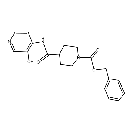 O=C(Nc1ccncc1O)C1CCN(C(=O)OCc2ccccc2)CC1